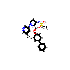 CS(=O)(=O)N[C@H]1CCN(c2cncc(C(F)(F)F)c2)[C@H]1COC1CCC(c2ccccc2)CC1